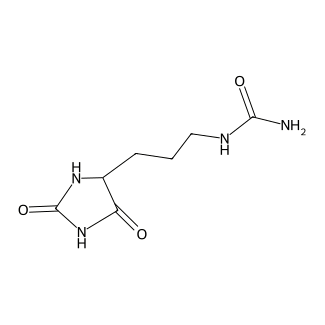 NC(=O)NCCCC1NC(=O)NC1=O